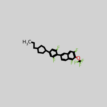 CCCC1CCC(c2cc(F)c(-c3ccc4c(F)c(OC(F)(F)F)c(F)cc4c3)c(F)c2)CC1